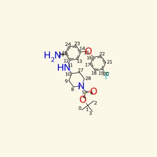 CC(C)(C)OC(=O)N1CCC(Nc2cc(Oc3ccc(F)cc3)ccc2N)CC1